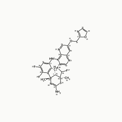 C[C@H]1[C@@](C)(c2cc(Nc3ncnc4cc(OCc5ncco5)cnc34)cc(F)c2F)N=C(N)S[C@]1(C)C(F)F